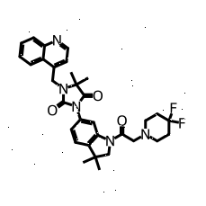 CC1(C)CN(C(=O)CN2CCC(F)(F)CC2)c2cc(N3C(=O)N(Cc4ccnc5ccccc45)C(C)(C)C3=O)ccc21